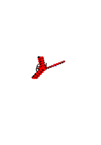 C=CCCCCCCCCC(CCCCCCC/C=C/CCCCCCCC)(CCCCCCCCC=C)C(CCCCCCCCC=C)(CCCCCCCCC=C)C(CCCCCCCCC=C)(CCCCCCCCC=C)C(CCCCCCCCC=C)(CCCCCCCCC=C)C(=O)O